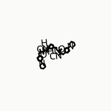 [C-]#[N+]/C(=C/c1ccc(N2CCCCC2)cc1)C(=O)NCc1cccc(CNC(=O)/C(C#N)=C\c2ccc(N3CCCCC3)cc2)c1